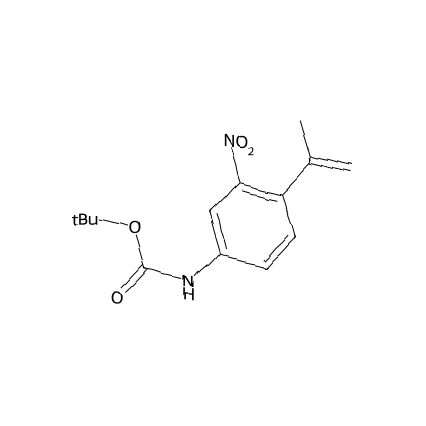 C=C(C)c1ccc(NC(=O)OC(C)(C)C)cc1[N+](=O)[O-]